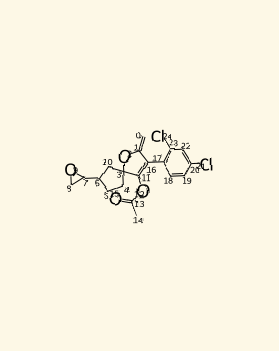 C=C1OC2(CCC(C3CO3)C2)C(OC(C)=O)=C1c1ccc(Cl)cc1Cl